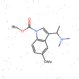 COc1ccc2c(c1)c(C(C)N(C)C)cn2C(=O)OC(C)(C)C